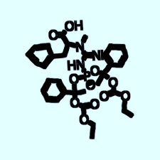 CCOC(=O)OC(C)(OP(=O)(NC(=N)N(C)C(Cc1ccccc1)C(=O)O)OC(C)(OC(=O)OCC)c1ccccc1)c1ccccc1